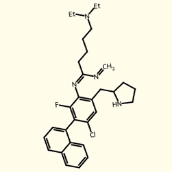 C=N/C(CCCCN(CC)CC)=N\c1c(CC2CCCN2)cc(Cl)c(-c2cccc3ccccc23)c1F